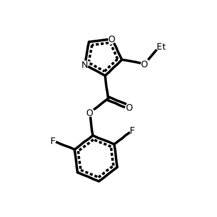 CCOc1ocnc1C(=O)Oc1c(F)cccc1F